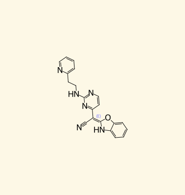 N#C/C(=C1\Nc2ccccc2O1)c1ccnc(NCCc2ccccn2)n1